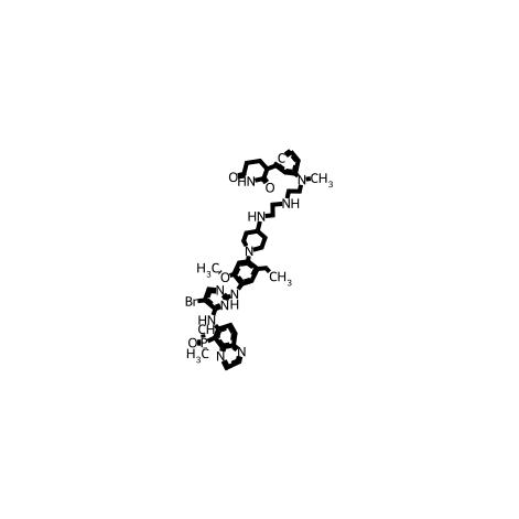 CCc1cc(Nc2ncc(Br)c(Nc3ccc4nccnc4c3P(C)(C)=O)n2)c(OC)cc1N1CCC(NCCNCCN(C)c2cccc(C3CCC(=O)NC3=O)c2)CC1